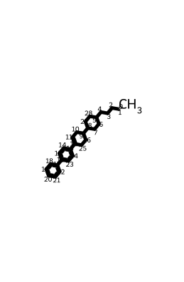 CCCCCC1CCC(C2CC=C(c3ccc(-c4ccccc4)cc3)CC2)CC1